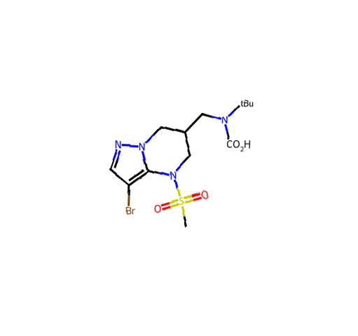 CC(C)(C)N(CC1CN(S(C)(=O)=O)c2c(Br)cnn2C1)C(=O)O